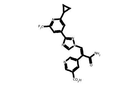 NC(=O)/C(=C/n1cnc(-c2cc(C3CC3)nc(C(F)(F)F)c2)n1)c1cncc(C(=O)O)c1